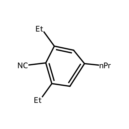 CCCc1cc(CC)c(C#N)c(CC)c1